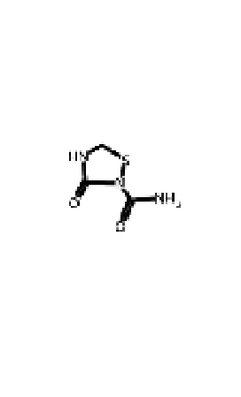 NC(=O)N1SCNC1=O